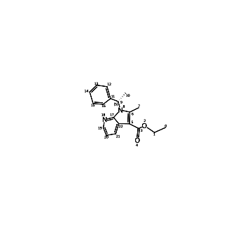 CCOC(=O)c1c(C)n([C@@H](C)c2ccccc2)c2ncccc12